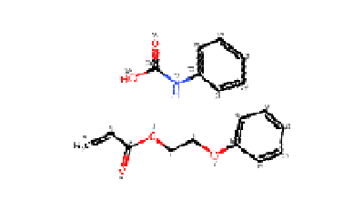 C=CC(=O)OCCOc1ccccc1.O=C(O)Nc1ccccc1